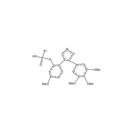 CCP(=O)(O)Oc1cc(OC)ccc1-c1cnoc1-c1cc(OC)c(OC)c(OC)c1